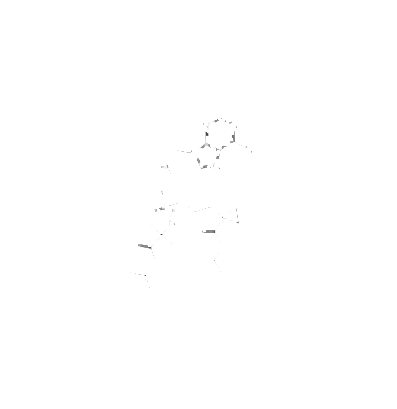 CCOC(=O)C1(CCO[P@](=O)(CO[C@H](C)Cn2cnc3c(N)ncnc32)NC(C)(C)C(=O)OC(C)C)CC1